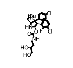 CC(C)(C)C[C@@H]1N[C@H](OC(=O)NCC[C@@H](O)CO)[C@H](c2cccc(Cl)c2F)[C@@]1(C#N)c1ccc(Cl)cc1